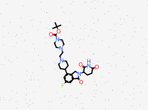 CC(C)(C)OC(=O)N1CCN(CCN2CCC(c3cc(F)cc4c3CN(C3CCC(=O)NC3=O)C4=O)CC2)CC1